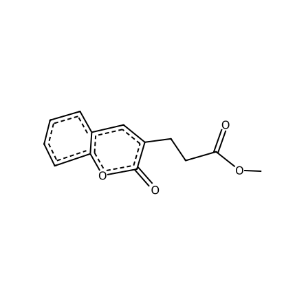 COC(=O)CCc1cc2ccccc2oc1=O